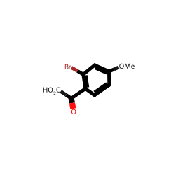 COc1ccc(C(=O)C(=O)O)c(Br)c1